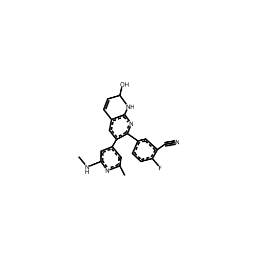 CNc1cc(-c2cc3c(nc2-c2ccc(F)c(C#N)c2)NC(O)C=C3)cc(C)n1